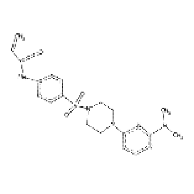 C=CC(=O)Nc1ccc(S(=O)(=O)N2CCN(c3ccnc(N(C)C)n3)CC2)cc1